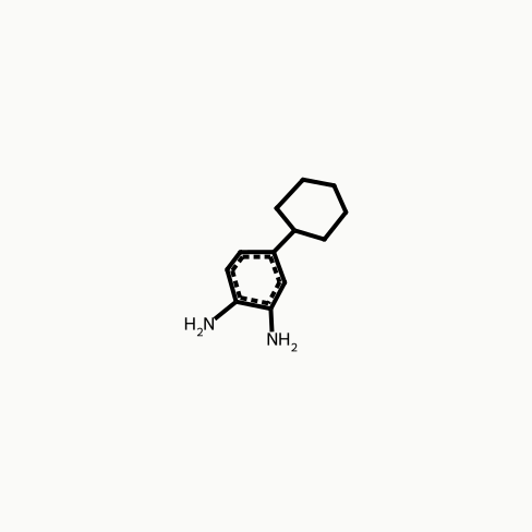 Nc1ccc(C2CCCCC2)cc1N